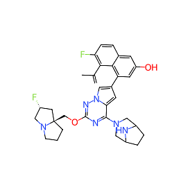 C=C(C)c1c(F)ccc2cc(O)cc(-c3cc4c(N5CC6CCC(C5)N6)nc(OC[C@@]56CCCN5C[C@H](F)C6)nn4c3)c12